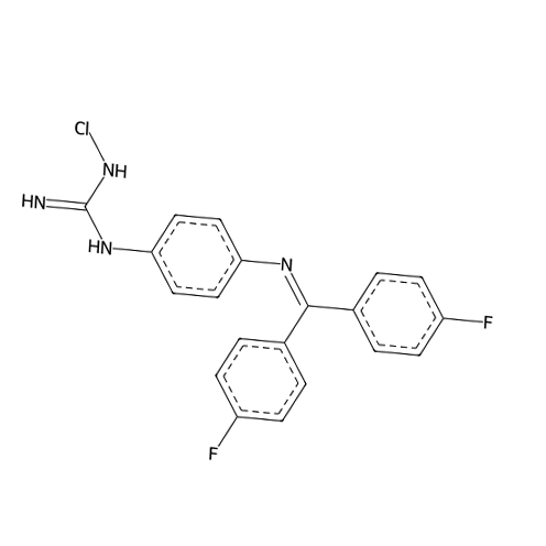 N=C(NCl)Nc1ccc(N=C(c2ccc(F)cc2)c2ccc(F)cc2)cc1